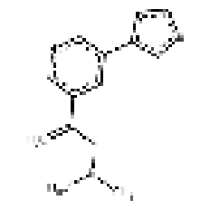 C=C(CN(C)C)c1cncc(-c2ccsc2)c1